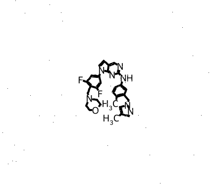 Cc1cnn(Cc2cc(Nc3ncc4ccn(-c5cc(F)c(CN6CCOCC6)c(F)c5)c4n3)ccc2C)c1